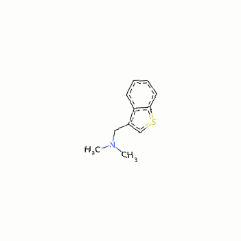 CN(C)Cc1csc2ccccc12